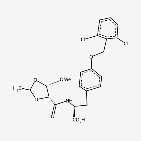 CO[C@H]1OC(C)O[C@H]1C(=O)N[C@@H](Cc1ccc(OCc2c(Cl)cccc2Cl)cc1)C(=O)O